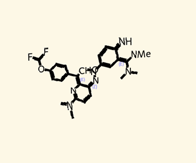 CN/C(=C1/C=C(N(C)/N=C2/C=CC(N(C)C)=N/C2=C(/C=O)c2ccc(OC(F)F)cc2)C=CC1=N)N(C)C